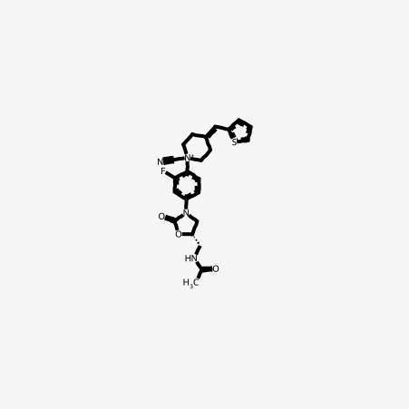 CC(=O)NC[C@H]1CN(c2ccc([N+]3(C#N)CCC(=Cc4cccs4)CC3)c(F)c2)C(=O)O1